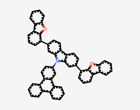 c1ccc2c(c1)oc1c(-c3ccc4c5ccc(-c6cccc7c6oc6ccccc67)cc5n(-c5ccc6c7ccccc7c7ccccc7c6c5)c4c3)cccc12